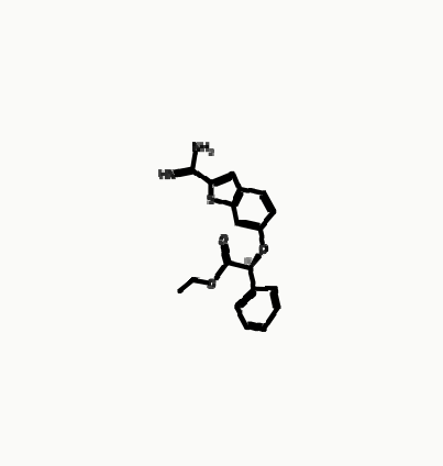 CCOC(=O)[C@@H](Oc1ccc2cc(C(=N)N)sc2c1)c1ccccc1